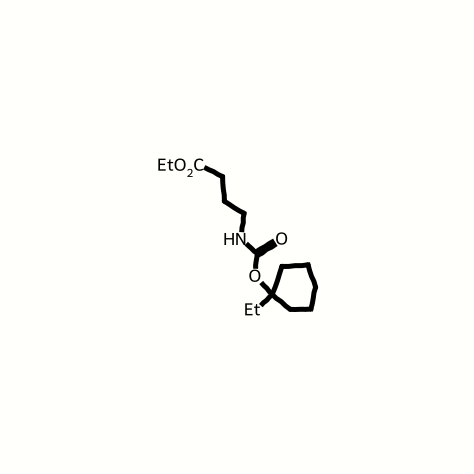 CCOC(=O)CCCNC(=O)OC1(CC)CCCCC1